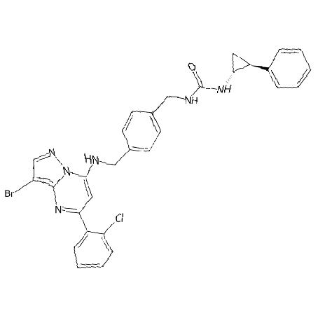 O=C(NCc1ccc(CNc2cc(-c3ccccc3Cl)nc3c(Br)cnn23)cc1)N[C@@H]1C[C@H]1c1ccccc1